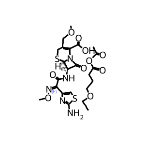 CCOCCCC(=O)OC(C)=O.COCC1=C(C(=O)O)N2C(=O)[C@@H](NC(=O)/C(=N/OC)c3csc(N)n3)[C@H]2SC1